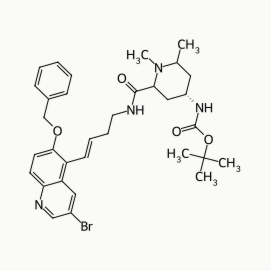 CC1C[C@H](NC(=O)OC(C)(C)C)CC(C(=O)NCC/C=C/c2c(OCc3ccccc3)ccc3ncc(Br)cc23)N1C